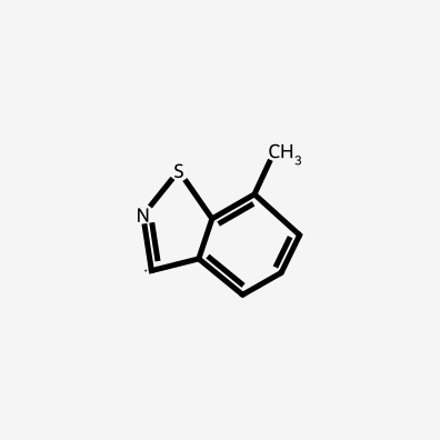 Cc1cccc2[c]nsc12